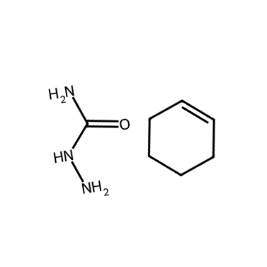 C1=CCCCC1.NNC(N)=O